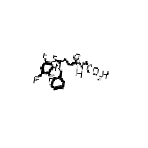 O=C(O)CNC(=O)CCC1Sc2c(F)cc(F)c(F)c2N1Cc1ccccc1